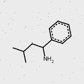 CC(C)[CH]C(N)c1ccccc1